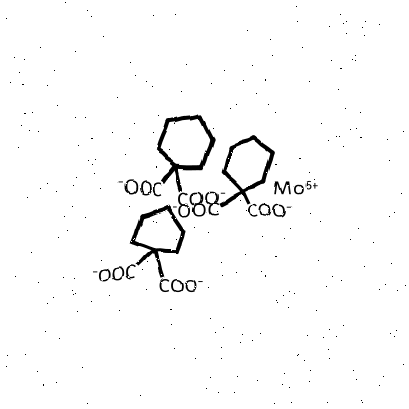 O=C([O-])C1(C(=O)[O-])CCCCC1.O=C([O-])C1(C(=O)[O-])CCCCC1.O=C([O-])C1(C(=O)[O-])CCCCC1.[Mo+6]